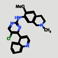 COc1cc2c(cc1Nc1ncc(Cl)c(-c3ccnc4ccccc34)n1)CN(C)CC2